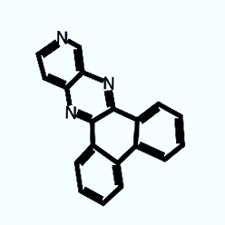 c1ccc2c(c1)c1ccccc1c1nc3cnccc3nc21